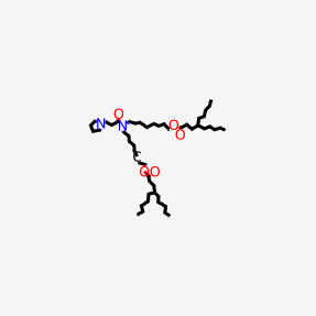 CCCCCC(CCCCC)CCC(=O)OCCCCCCCCN(CCCCCCCCOC(=O)CCC(CCCCC)CCCCC)C(=O)CCN1CCCC1